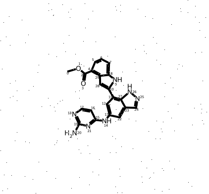 COC(=O)c1cccc2[nH]c(-c3cc(Nc4ccnc(N)n4)cc4cn[nH]c34)cc12